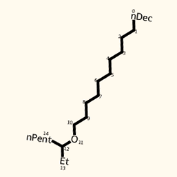 CCCCCCCCCCCCCCCCCCCCOC(CC)CCCCC